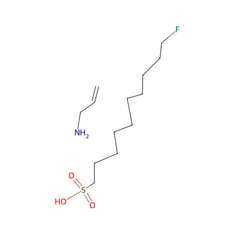 C=CCN.O=S(=O)(O)CCCCCCCCCCF